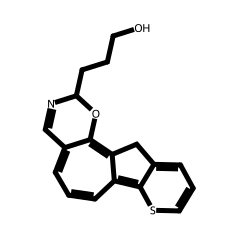 OCCCC1N=CC2=CC=CC3=C4SC=CC=C4CC3=C2O1